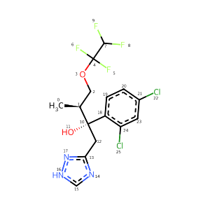 C[C@@H](COC(F)(F)C(F)F)[C@](O)(Cc1nc[nH]n1)c1ccc(Cl)cc1Cl